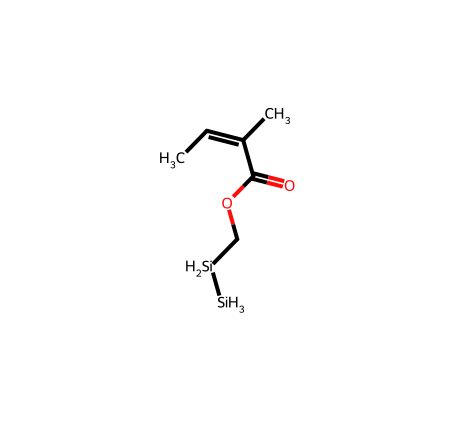 CC=C(C)C(=O)OC[SiH2][SiH3]